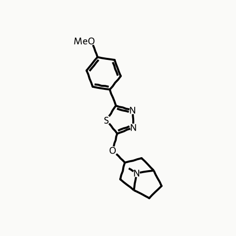 COc1ccc(-c2nnc(OC3CC4CCC(C3)N4C)s2)cc1